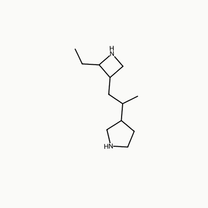 CCC1NCC1CC(C)C1CCNC1